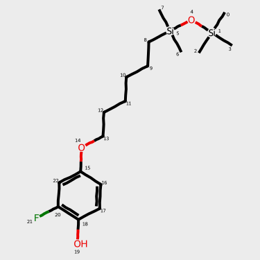 C[Si](C)(C)O[Si](C)(C)CCCCCCOc1ccc(O)c(F)c1